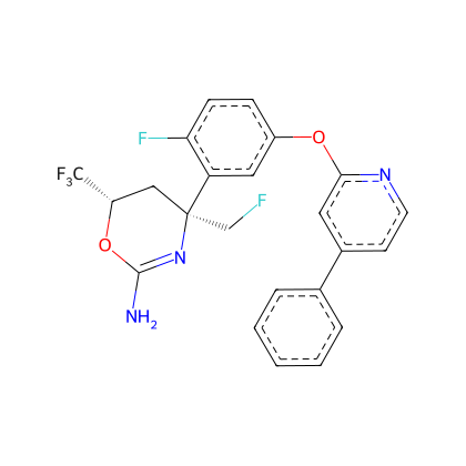 NC1=N[C@](CF)(c2cc(Oc3cc(-c4ccccc4)ccn3)ccc2F)C[C@@H](C(F)(F)F)O1